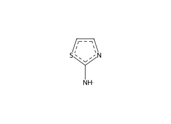 [NH]c1nccs1